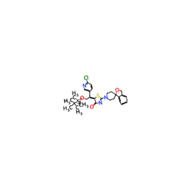 CC(C)(C)[Si](C)(C)OC/C(=C1/SC(N2CCC3(CC2)OCc2ccccc23)=NC1=O)c1ccc(Cl)nc1